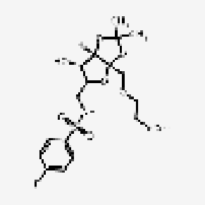 CCCCCCCCCCCCOC[C@@]12O[C@@H](CNS(=O)(=O)c3ccc(F)cc3)[C@@H](O)[C@@H]1OC(C)(C)O2